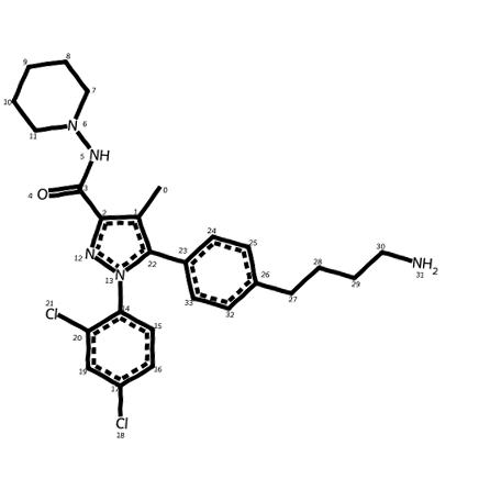 Cc1c(C(=O)NN2CCCCC2)nn(-c2ccc(Cl)cc2Cl)c1-c1ccc(CCCCN)cc1